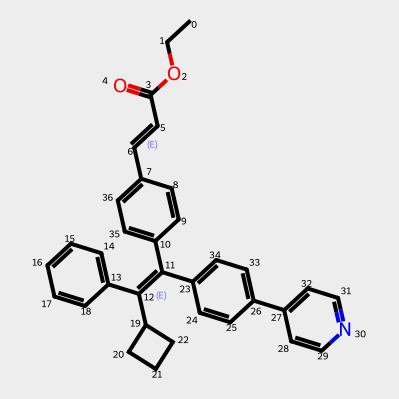 CCOC(=O)/C=C/c1ccc(/C(=C(\c2ccccc2)C2CCC2)c2ccc(-c3ccncc3)cc2)cc1